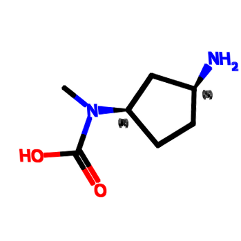 CN(C(=O)O)[C@@H]1CC[C@H](N)C1